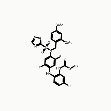 COc1ccc(CN(c2cc(F)c(Nc3ccc(Cl)cc3NC(=O)OC(C)(C)C)cc2F)S(=O)(=O)c2ncns2)c(OC)c1